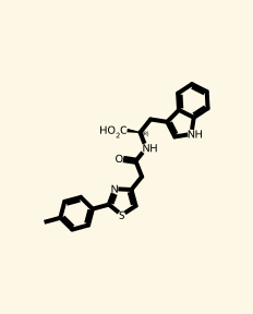 Cc1ccc(-c2nc(CC(=O)N[C@H](Cc3c[nH]c4ccccc34)C(=O)O)cs2)cc1